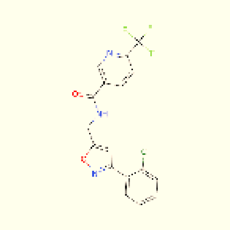 O=C(NCc1cc(-c2ccccc2Cl)no1)c1ccc(C(F)(F)F)nc1